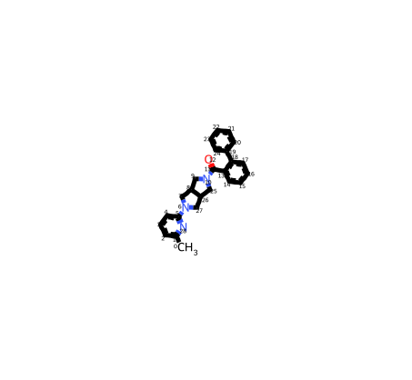 Cc1cccc(N2CC3CN(C(=O)c4ccccc4-c4ccccc4)CC3C2)n1